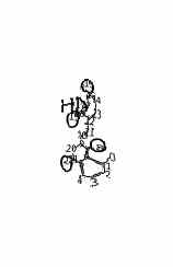 Cc1cccc2c1C(=O)C(CCC1CCC(=O)NC1=O)CC2=O